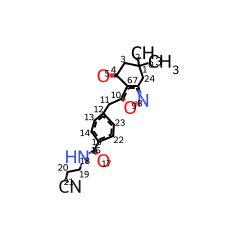 CC1(C)CC(=O)c2c(noc2Cc2ccc(C(=O)NCCC#N)cc2)C1